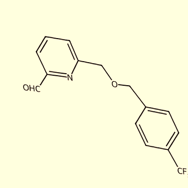 O=Cc1cccc(COCc2ccc(C(F)(F)F)cc2)n1